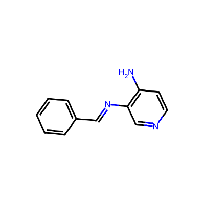 Nc1ccncc1/N=C/c1ccccc1